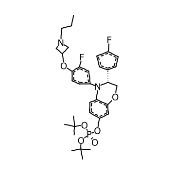 CCCN1CC(Oc2ccc(N3c4ccc(OP(=O)(OC(C)(C)C)OC(C)(C)C)cc4OC[C@H]3c3ccc(F)cc3)cc2F)C1